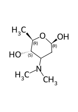 C[C@H]1O[C@@H](O)CC(N(C)C)[C@@H]1O